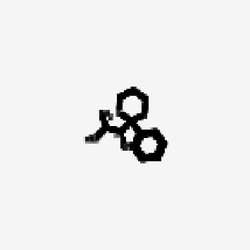 CCCCC(N)[C@H](O)C1(c2ccccc2)SCCCS1